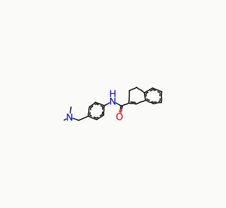 CN(C)Cc1ccc(NC(=O)C2=Cc3ccccc3CC2)cc1